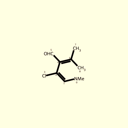 CN/C=C(/Cl)C(C=O)=C(C)C